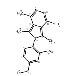 CCOc1ccc(-n2c(C)c3c(C)nnc(C)c3c2C)c(SC)c1